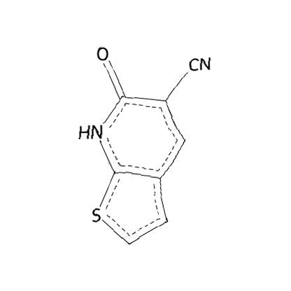 N#Cc1cc2ccsc2[nH]c1=O